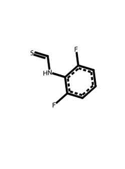 Fc1cccc(F)c1NC=S